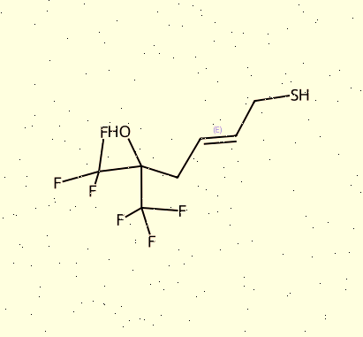 OC(C/C=C/CS)(C(F)(F)F)C(F)(F)F